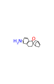 Nc1ccc2c(c1)CCC1(CC3=CCC1C3)C2=O